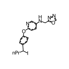 CCCC(I)c1ccc(Oc2ccc(NCc3nnco3)cn2)cc1